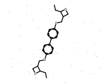 CCC1OCC1COc1ccc(-c2ccc(OCC3COC3CC)cc2)cc1